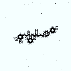 COc1ccc(CC2Sc3ccccc3N(CC(=O)NCCCN3CCN(c4ccc(F)cc4)CC3)C2=O)cc1Br